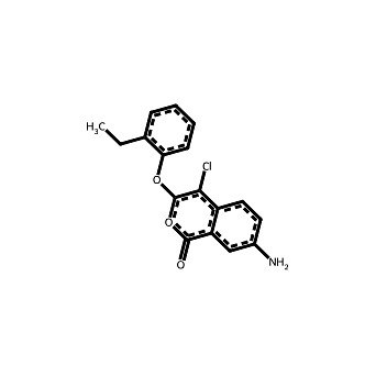 CCc1ccccc1Oc1oc(=O)c2cc(N)ccc2c1Cl